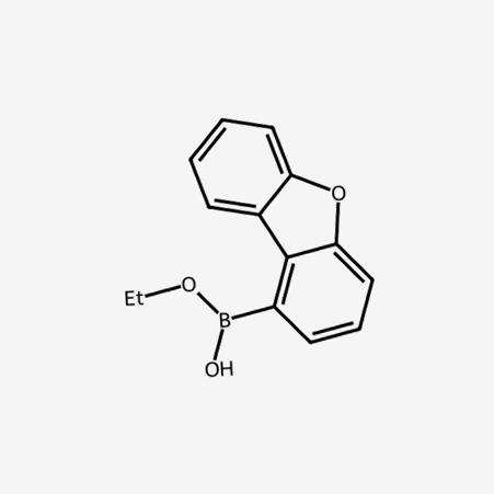 CCOB(O)c1cccc2oc3ccccc3c12